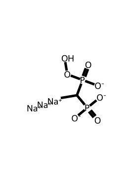 CC(P(=O)([O-])[O-])P(=O)([O-])OO.[Na+].[Na+].[Na+]